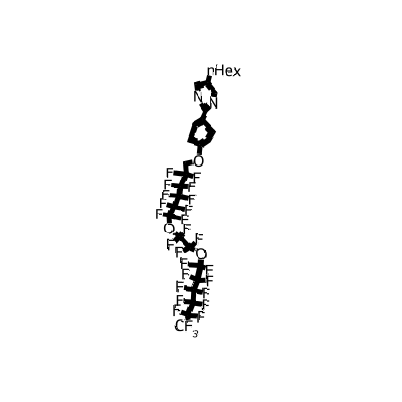 CCCCCCc1cnc(-c2ccc(OCC(F)(F)C(F)(F)C(F)(F)C(F)(F)C(F)(F)OC(F)(F)C(F)(F)OC(F)(F)C(F)(F)C(F)(F)C(F)(F)C(F)(F)C(F)(F)F)cc2)nc1